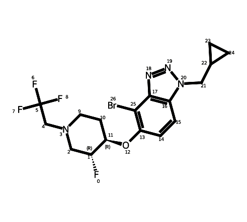 F[C@@H]1CN(CC(F)(F)F)CC[C@H]1Oc1ccc2c(nnn2CC2CC2)c1Br